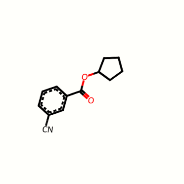 N#Cc1cccc(C(=O)OC2CCCC2)c1